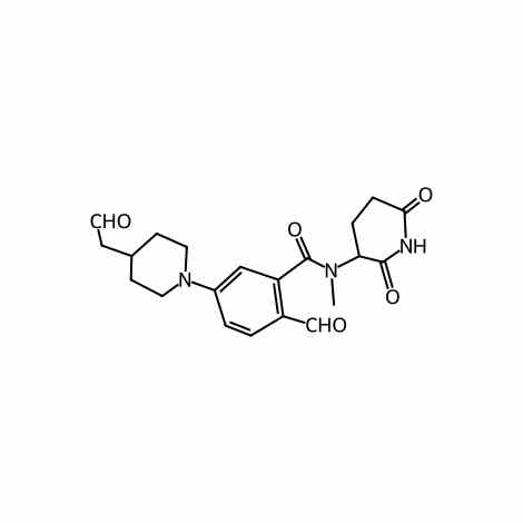 CN(C(=O)c1cc(N2CCC(CC=O)CC2)ccc1C=O)C1CCC(=O)NC1=O